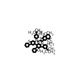 CC(C)(C)c1ccc(N2B3c4sc5cc6c(cc5c4-n4c5ccc(C(C)(C)C)cc5c5c7oc8ccccc8c7c(c3c54)-c3cc4c(cc32)sc2ccccc24)C(C)(C)CCC6(C)C)cc1